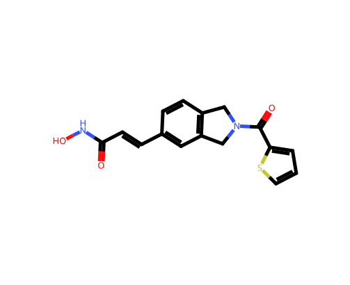 O=C(/C=C/c1ccc2c(c1)CN(C(=O)c1cccs1)C2)NO